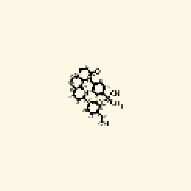 CC(C)(C#N)c1ccc(-n2c(=O)ccc3cnc4ccc(-c5ccc(CO)nc5)nc4c32)cc1